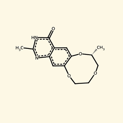 Cc1nc2cc3c(cc2c(=O)[nH]1)O[C@H](C)COCCO3